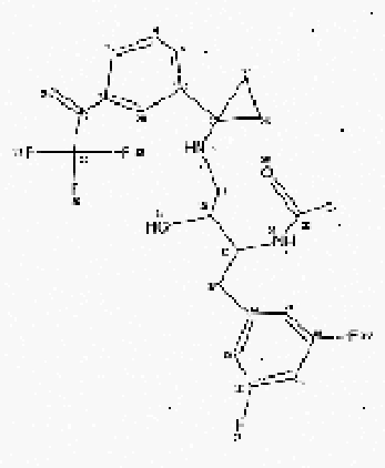 C=C(c1cccc(C2(NCC(O)C(Cc3cc(F)cc(F)c3)NC(C)=O)CC2)c1)C(F)(F)F